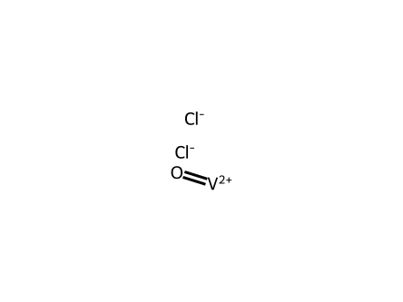 [Cl-].[Cl-].[O]=[V+2]